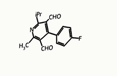 Cc1nc(C(C)C)c(C=O)c(-c2ccc(F)cc2)c1C=O